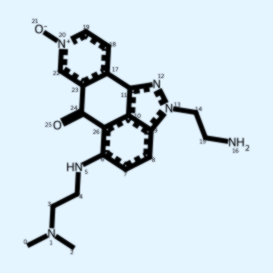 CN(C)CCNc1ccc2c3c(nn2CCN)-c2cc[n+]([O-])cc2C(=O)c13